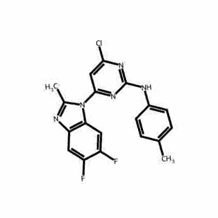 Cc1ccc(Nc2nc(Cl)cc(-n3c(C)nc4cc(F)c(F)cc43)n2)cc1